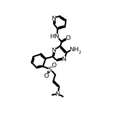 CN(C)C=CCS(=O)(=O)c1ccccc1-c1cnc(N)c(C(=O)Nc2cccnc2)n1